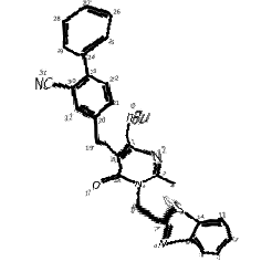 CCCCc1nc(C)n(Cc2nc3ccccc3s2)c(=O)c1Cc1ccc(-c2ccccc2)c(C#N)c1